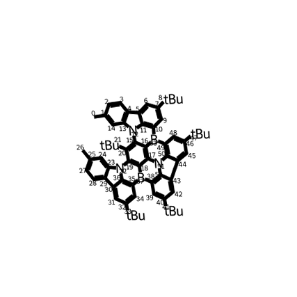 Cc1ccc2c3cc(C(C)(C)C)cc4c3n(c2c1)-c1c2c3c5c(c1C(C)(C)C)-n1c6cc(C)ccc6c6cc(C(C)(C)C)cc(c61)B5c1cc(C(C)(C)C)cc5c6cc(C(C)(C)C)cc(c6n-3c15)B24